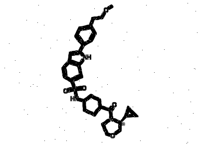 COCCc1ccc(-c2cc3ccc(S(=O)(=O)NC4CCC(C(=O)N5CCOC[C@@H]5C5CC5)CC4)cc3[nH]2)cc1